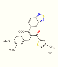 COc1ccc(CC(C(=O)c2cc(C)cs2)=C(C(=O)[O-])c2ccc3nsnc3c2)cc1OC.[Na+]